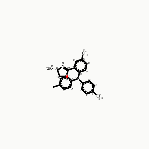 Cc1ccc(P(c2ccc(C(F)(F)F)cc2)c2ccc(C(F)(F)F)cc2C2=N[C@@H](C(C)(C)C)CO2)cc1